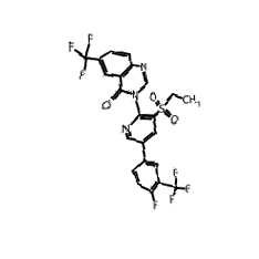 CCS(=O)(=O)c1cc(-c2ccc(F)c(C(F)(F)F)c2)cnc1-n1cnc2ccc(C(F)(F)F)cc2c1=O